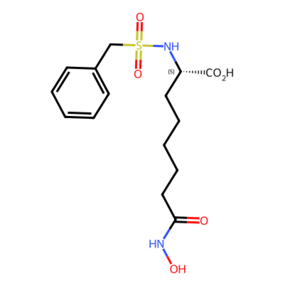 O=C(CCCCC[C@H](NS(=O)(=O)Cc1ccccc1)C(=O)O)NO